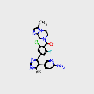 CCc1ncnc(-c2cc(F)c(C(=O)N3CCn4c(C)cnc4C3)c(Cl)c2)c1-c1ccc(N)nc1